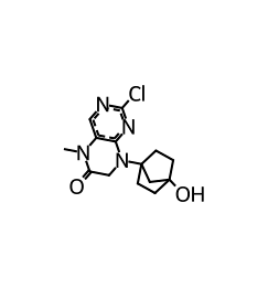 CN1C(=O)CN(C23CCC(O)(CC2)C3)c2nc(Cl)ncc21